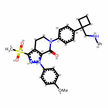 COc1ccc(-n2nc(S(C)(=O)=O)c3c2C(=O)N(c2ccc(C4(CNC(C)C)CCC4)cc2)CC3)cc1